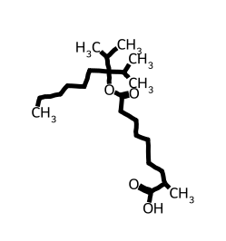 CCCCCCC(OC(=O)CCCCCCC(C)C(=O)O)(C(C)C)C(C)C